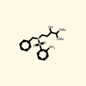 COC(OC)C(O)CCN(Cc1ccccc1)S(=O)(=O)c1ccccc1[N+](=O)[O-]